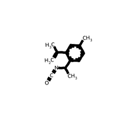 C=C(C)c1cc(C)ccc1C(C)N=C=O